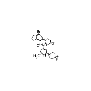 Cc1cc(NC(=O)c2c(N3CCC4(CC3)CC4)cc(Br)c3c2CCC3)cc(N2CCC(F)(F)CC2)n1